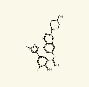 Cn1cc(-c2cc(F)c(=N)n(C(=N)Sc3ccc4ncc(N5CCC(O)CC5)cc4c3)c2)cn1